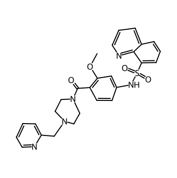 COc1cc(NS(=O)(=O)c2cccc3cccnc23)ccc1C(=O)N1CCN(Cc2ccccn2)CC1